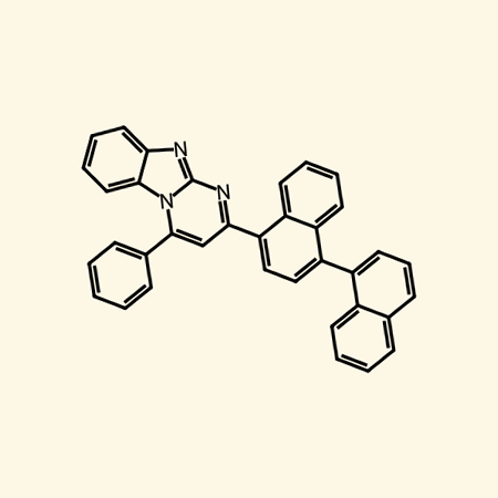 c1ccc(-c2cc(-c3ccc(-c4cccc5ccccc45)c4ccccc34)nc3nc4ccccc4n23)cc1